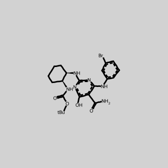 CC(C)(C)OC(=O)N[C@H]1CCCC[C@H]1Nc1nc(O)c(C(N)=O)c(Nc2cccc(Br)c2)n1